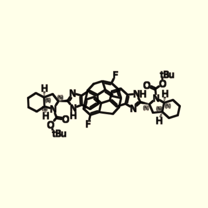 CC(C)(C)OC(=O)N1[C@H](c2nc3cc(-c4cc5cc(F)c4CCc4cc(F)c(c(-c6ccc7[nH]c([C@@H]8C[C@@H]9CCCC[C@@H]9N8C(=O)OC(C)(C)C)nc7c6)c4)CC5)ccc3[nH]2)C[C@@H]2CCCC[C@@H]21